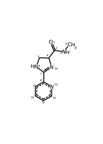 CNC(=O)C1CNC(c2ccccn2)=N1